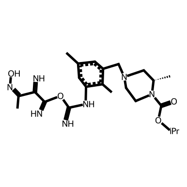 C/C(=N/O)C(=N)C(=N)OC(=N)Nc1cc(C)cc(CN2CCN(C(=O)OC(C)C)[C@@H](C)C2)c1C